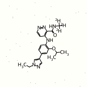 [2H]C([2H])([2H])NC(=O)c1nnccc1Nc1ccc(-c2cnn(CC)c2)cc1OC(C)C